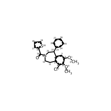 COc1cc2c(c(Cl)c1OC)CCN(C(=O)c1cccs1)CC2c1ccccc1